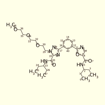 CCC(CC)NC(=O)c1cnc(-c2cccc(-c3nc(C(=O)NC(CC)CC)n(CCOCCOCCOC)n3)c2)o1